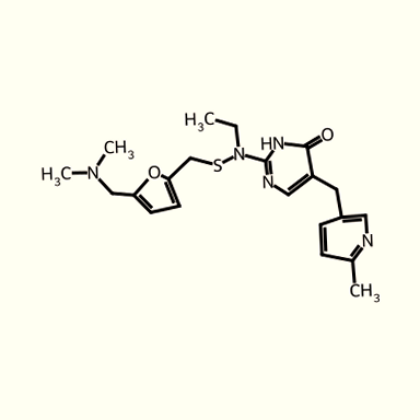 CCN(SCc1ccc(CN(C)C)o1)c1ncc(Cc2ccc(C)nc2)c(=O)[nH]1